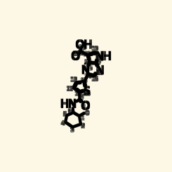 CC1CCCCC1NC(=O)c1ccc(-c2cnc3[nH]cc(C(=O)O)c3n2)s1